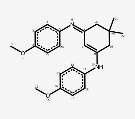 COc1ccc(N=C2C=C(Nc3ccc(OC)cc3)CC(C)(C)C2)cc1